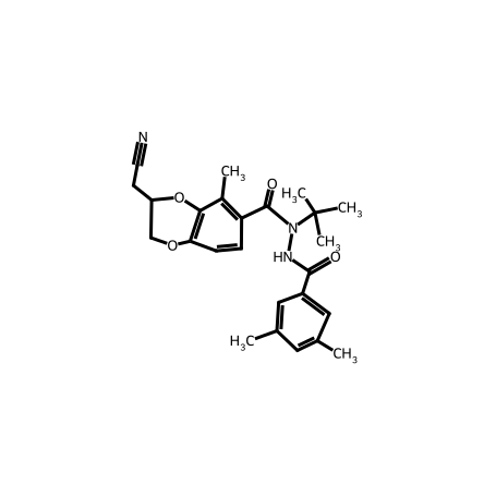 Cc1cc(C)cc(C(=O)NN(C(=O)c2ccc3c(c2C)OC(CC#N)CO3)C(C)(C)C)c1